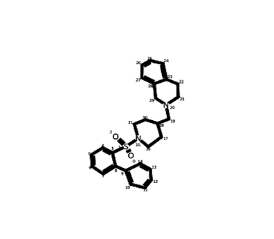 O=S(=O)(c1ccccc1-c1ccccc1)N1CCC(CN2CCc3ccccc3C2)CC1